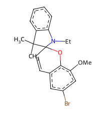 CCN1c2ccccc2C(C)(C)C12C=Cc1cc(Br)cc(OC)c1O2